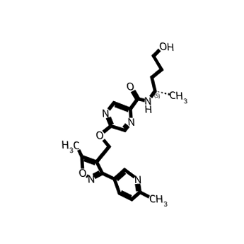 Cc1ccc(-c2noc(C)c2COc2cnc(C(=O)N[C@@H](C)CCCO)cn2)cn1